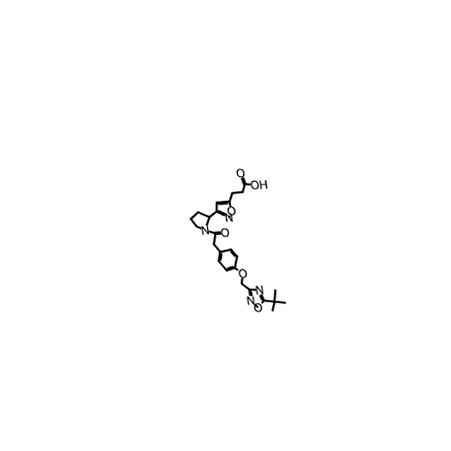 CC(C)(C)c1nc(COc2ccc(CC(=O)N3CCCC3c3cc(CCC(=O)O)on3)cc2)no1